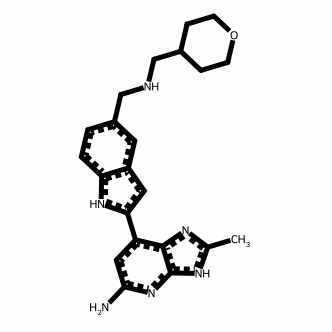 Cc1nc2c(-c3cc4cc(CNCC5CCOCC5)ccc4[nH]3)cc(N)nc2[nH]1